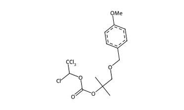 COc1ccc(COCC(C)(C)OC(=O)OC(Cl)C(Cl)(Cl)Cl)cc1